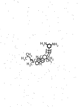 CC(C)CCCC(C)[C@H]1CC[C@H]2[C@@H]3CCC4C(C)(C)C(OC(F)(F)C(F)(F)c5cc(N)cc(N)c5)CC[C@]4(C)[C@H]3CC[C@]12C